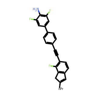 CCCC1=Cc2ccc(C#Cc3ccc(-c4cc(F)c(N)c(F)c4)cc3)c(F)c2C1